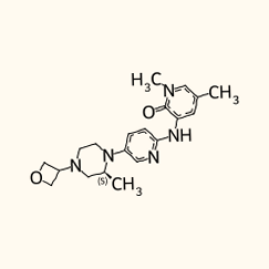 Cc1cc(Nc2ccc(N3CCN(C4COC4)C[C@@H]3C)cn2)c(=O)n(C)c1